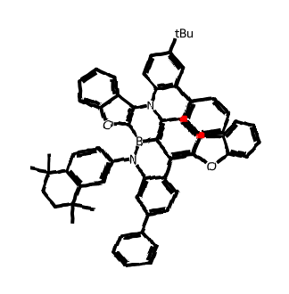 CC(C)(C)c1ccc(N2c3cc4c(oc5ccccc54)c4c3B(c3oc5ccccc5c32)N(c2ccc3c(c2)C(C)(C)CCC3(C)C)c2cc(-c3ccccc3)ccc2-4)c(-c2ccccc2)c1